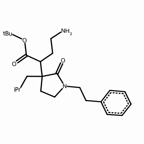 CC(C)CC1(C(CCN)C(=O)OC(C)(C)C)CCN(CCc2ccccc2)C1=O